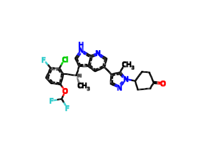 Cc1c(-c2cnc3[nH]cc([C@H](C)c4c(OC(F)F)ccc(F)c4Cl)c3c2)cnn1C1CCC(=O)CC1